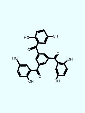 O=C(c1cc(C(=O)c2cc(O)ccc2O)cc(C(=O)c2cc(O)ccc2O)c1)c1cc(O)ccc1O